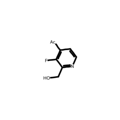 [CH2]C(=O)c1ccnc(CO)c1F